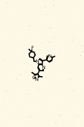 Cc1ccc(-c2cn(CC3CCC(C)(F)CC3)c3cc(-c4c(C)noc4C)cnc23)cn1